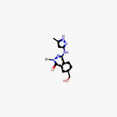 Cc1cc(Nc2nn(C(C)C)c(=O)c3cc(CO)ccc23)n[nH]1